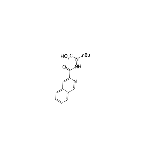 CCCCN(NC(=O)c1cc2ccccc2cn1)C(=O)O